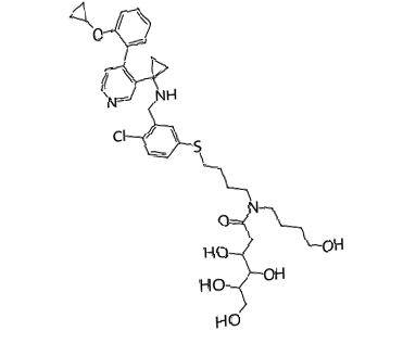 O=C(CC(O)C(O)C(O)CO)N(CCCCO)CCCCSc1ccc(Cl)c(CNC2(c3cnccc3-c3ccccc3OC3CC3)CC2)c1